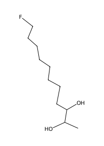 CC(O)C(O)CCCCCCCCF